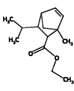 CCOC(=O)C1C(C(C)C)C2C=CC1(C)C2